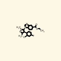 CCOC(=O)c1ccc2c(c1)ncn2-c1c(-c2ccc(F)cc2Cl)c(C)nn1C